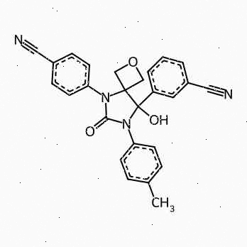 Cc1ccc(N2C(=O)N(c3ccc(C#N)cc3)C3(COC3)C2(O)c2cccc(C#N)c2)cc1